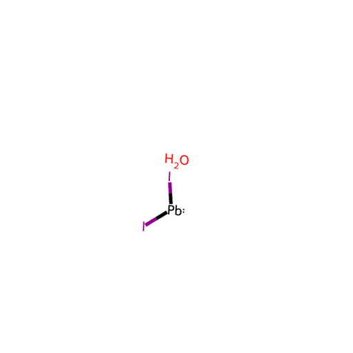 O.[I][Pb][I]